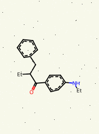 CCNc1ccc(C(=O)C(CC)Cc2ccccc2)cc1